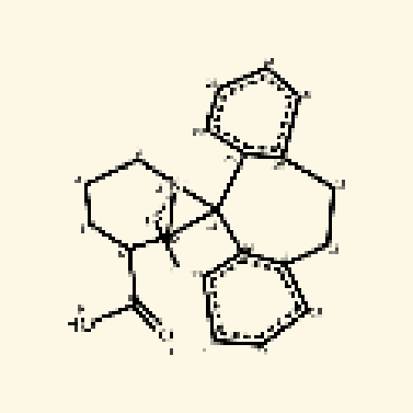 CC[N@@+]12CCCC(C(=O)O)C1C21c2ccccc2CCc2ccccc21